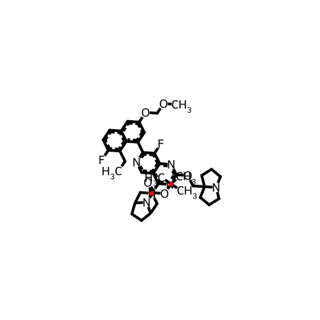 CCc1c(F)ccc2cc(OCOC)cc(-c3ncc4c(N5CC6CCC(C5)N6C(=O)OC(C)(C)C)nc(OCC56CCCN5CCC6)nc4c3F)c12